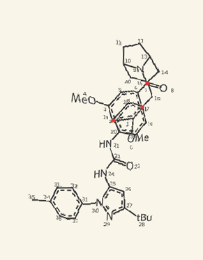 COc1cc(OC)cc(C(=O)N2C3CCC2CC(Cc2ccc(NC(=O)Nc4cc(C(C)(C)C)nn4-c4ccc(C)cc4)cc2)C3)c1